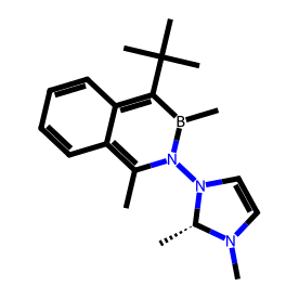 CB1C(C(C)(C)C)=c2ccccc2=C(C)N1N1C=CN(C)[C@@H]1C